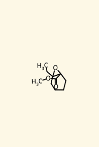 CCC12CCCCC1(C(=O)OC)O2